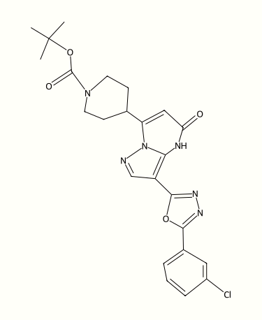 CC(C)(C)OC(=O)N1CCC(c2cc(=O)[nH]c3c(-c4nnc(-c5cccc(Cl)c5)o4)cnn23)CC1